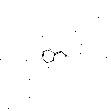 CCC=C1CCC=CO1